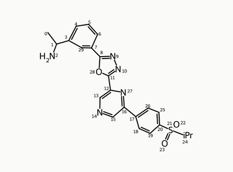 CC(N)c1cccc(-c2nnc(-c3cncc(-c4ccc(S(=O)(=O)C(C)C)cc4)n3)o2)c1